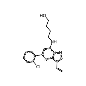 C=Cc1cnn2c(NCCCCO)cc(-c3ccccc3Cl)nc12